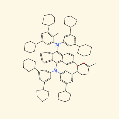 CCCCc1ccc2c(N(c3cc(C4CCCCC4)cc(C4CCCCC4)c3)c3cc(C4CCCCC4)cc(C4CCCCC4)c3C)c3ccccc3c(N(c3cc(C4CCCCC4)cc(C4CCCCC4)c3)c3cc(C4CCCCC4)cc(C4CCCCC4)c3)c2c1